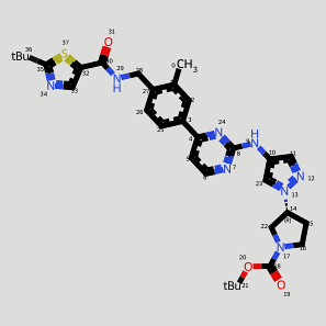 Cc1cc(-c2ccnc(Nc3cnn([C@@H]4CCN(C(=O)OC(C)(C)C)C4)c3)n2)ccc1CNC(=O)c1cnc(C(C)(C)C)s1